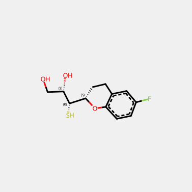 OC[C@H](O)[C@@H](S)[C@@H]1CCc2cc(F)ccc2O1